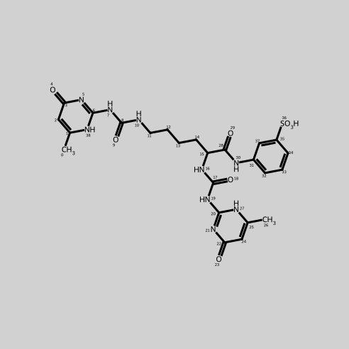 Cc1cc(=O)nc(NC(=O)NCCCCC(NC(=O)Nc2nc(=O)cc(C)[nH]2)C(=O)Nc2cccc(S(=O)(=O)O)c2)[nH]1